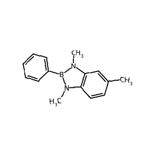 Cc1ccc2c(c1)N(C)B(c1ccccc1)N2C